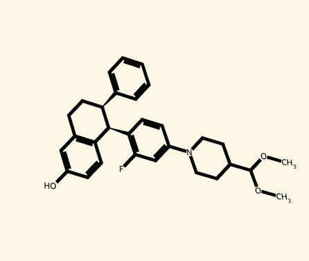 COC(OC)C1CCN(c2ccc([C@H]3c4ccc(O)cc4CC[C@H]3c3ccccc3)c(F)c2)CC1